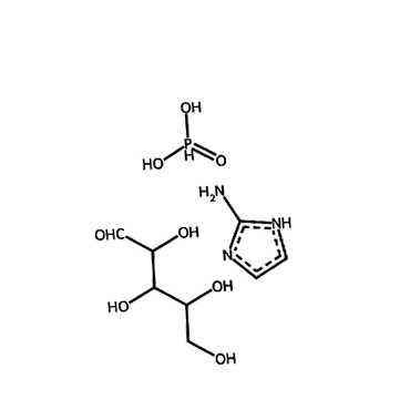 Nc1ncc[nH]1.O=CC(O)C(O)C(O)CO.O=[PH](O)O